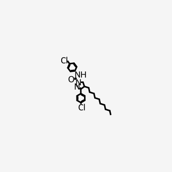 CCCCCCCCCCC1CN(C(=O)Nc2ccc(Cl)cc2)N=C1c1ccc(Cl)cc1